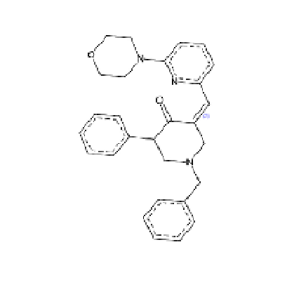 O=C1/C(=C\c2cccc(N3CCOCC3)n2)CN(Cc2ccccc2)CC1c1ccccc1